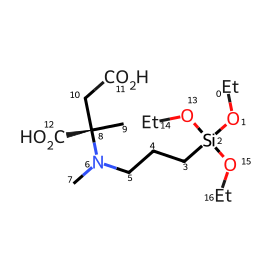 CCO[Si](CCCN(C)[C@@](C)(CC(=O)O)C(=O)O)(OCC)OCC